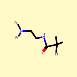 CCC(C)(C)C(=O)NCCN(C(C)C)C(C)C